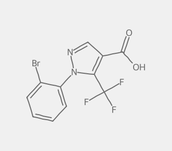 O=C(O)c1cnn(-c2ccccc2Br)c1C(F)(F)F